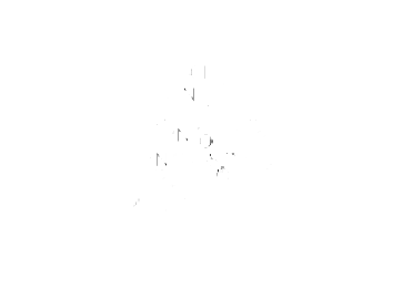 CN1CCN(c2nc3ccccc3cc2S(=O)(=O)c2ccccc2)CC1